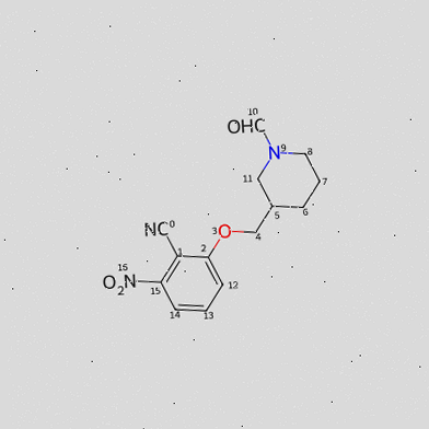 N#Cc1c(OCC2CCCN(C=O)C2)cccc1[N+](=O)[O-]